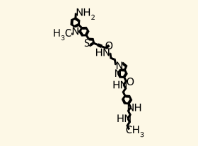 CCCNCCNc1ccc(CCNC(=O)c2cnc3c(ccn3CCCCNC(=O)C#Cc3csc(-c4ccc5c6cc(CN)ccc6n(CC)c5c4)c3)c2)cc1